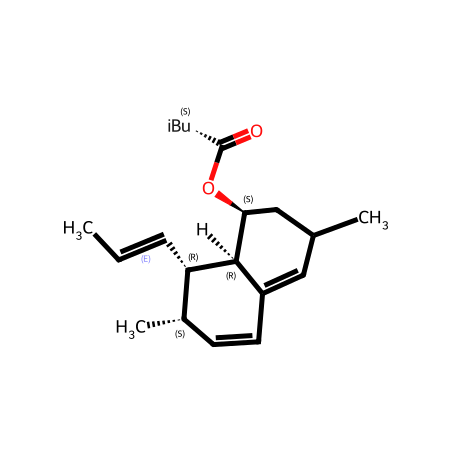 C/C=C/[C@@H]1[C@@H]2C(=CC(C)C[C@@H]2OC(=O)[C@@H](C)CC)C=C[C@@H]1C